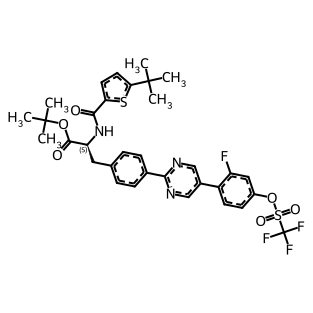 CC(C)(C)OC(=O)[C@H](Cc1ccc(-c2ncc(-c3ccc(OS(=O)(=O)C(F)(F)F)cc3F)cn2)cc1)NC(=O)c1ccc(C(C)(C)C)s1